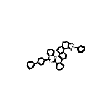 c1ccc(-c2ccc(-c3nc(-c4ccccc4-c4ccc5c(ccc6ccc7nn(-c8ccccc8)nc7c65)c4)nc4ccccc34)cc2)cc1